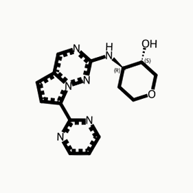 O[C@@H]1COCC[C@H]1Nc1ncc2ccc(-c3ncccn3)n2n1